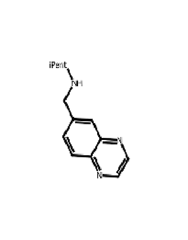 CCCC(C)NCc1ccc2nccnc2c1